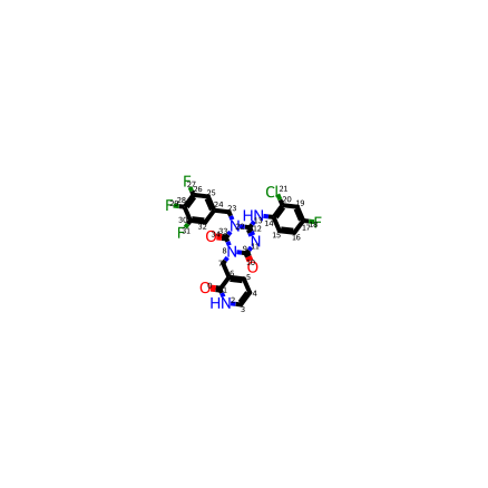 O=c1[nH]cccc1Cn1c(=O)nc(Nc2ccc(F)cc2Cl)n(Cc2cc(F)c(F)c(F)c2)c1=O